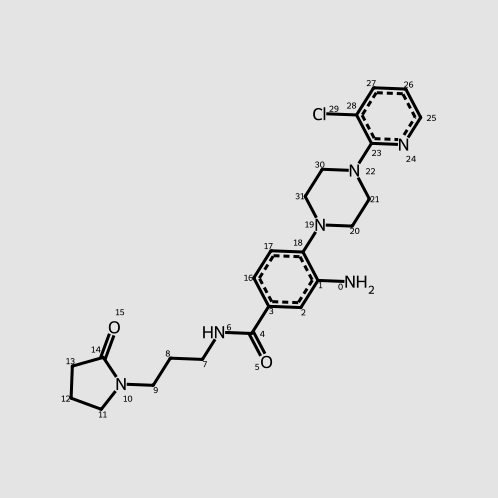 Nc1cc(C(=O)NCCCN2CCCC2=O)ccc1N1CCN(c2ncccc2Cl)CC1